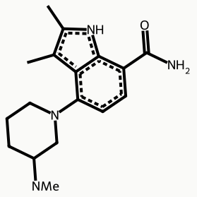 CNC1CCCN(c2ccc(C(N)=O)c3[nH]c(C)c(C)c23)C1